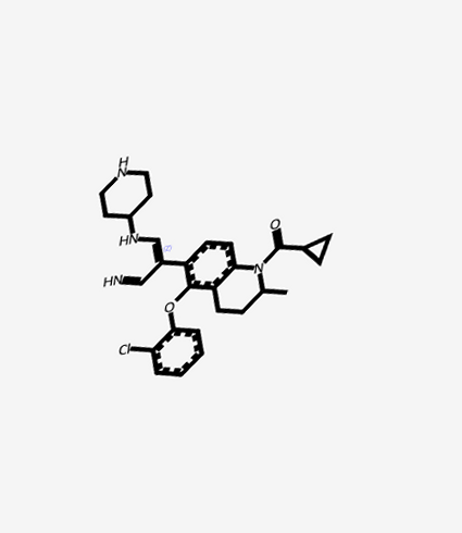 CC1CCc2c(ccc(/C(C=N)=C/NC3CCNCC3)c2Oc2ccccc2Cl)N1C(=O)C1CC1